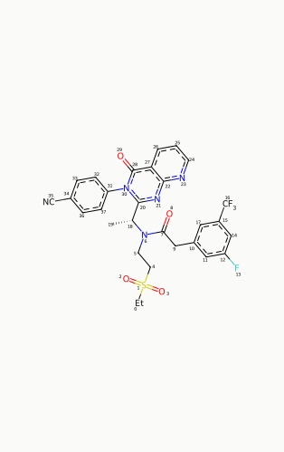 CCS(=O)(=O)CCN(C(=O)Cc1cc(F)cc(C(F)(F)F)c1)[C@H](C)c1nc2ncccc2c(=O)n1-c1ccc(C#N)cc1